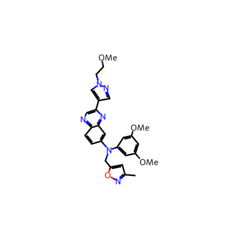 COCCn1cc(-c2cnc3ccc(N(Cc4cc(C)no4)c4cc(OC)cc(OC)c4)cc3n2)cn1